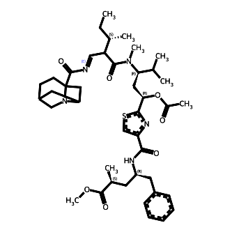 CC[C@H](C)C(/C=N/C(=O)C12CCC3CC(C1)N2C3)C(=O)N(C)[C@H](C[C@@H](OC(C)=O)c1nc(C(=O)N[C@@H](Cc2ccccc2)C[C@H](C)C(=O)OC)cs1)C(C)C